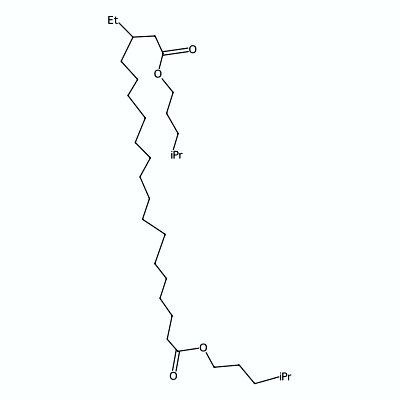 CCC(CCCCCCCCCCCCCCCC(=O)OCCCC(C)C)CC(=O)OCCCC(C)C